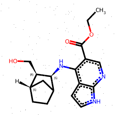 CCOC(=O)c1cnc2[nH]ccc2c1N[C@H]1C2CC[C@@H](C2)[C@H]1CO